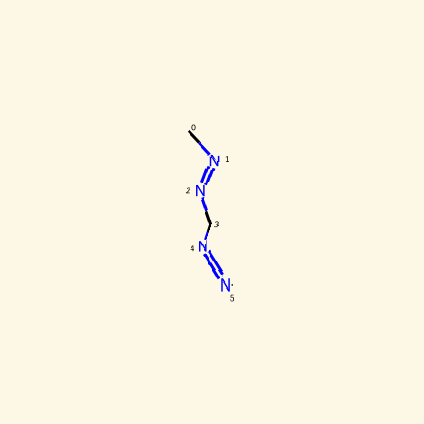 CN=NCN=[N]